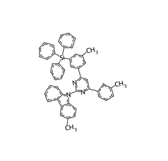 Cc1cccc(-c2cc(-c3cc(C)cc([Si](c4ccccc4)(c4ccccc4)c4ccccc4)c3)nc(-n3c4ccccc4c4cc(C)ccc43)n2)c1